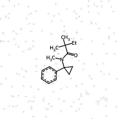 CCC(C)(C)C(=O)N(C)C1(c2ccccc2)CC1